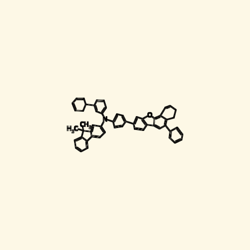 CC1(C)c2ccccc2-c2ccc(N(c3ccc(-c4ccc5c(c4)oc4c6c(c(-c7ccccc7)cc45)CCC=C6)cc3)c3cccc(C4C=CC=CC4)c3)cc21